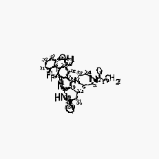 C=CC(=O)N1CCN(c2c3c(nc4c(F)c(-c5c(O)cccc5F)c(Cl)cc24)NC(=O)CC3)CC1